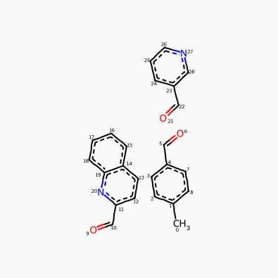 Cc1ccc(C=O)cc1.O=Cc1ccc2ccccc2n1.O=Cc1cccnc1